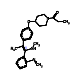 C=Nc1ccccc1/C(NC)=C(\C)c1ccc(OC2CCN(C(=O)CC)CC2)cc1